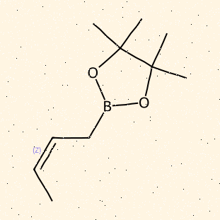 C/C=C\CB1OC(C)(C)C(C)(C)O1